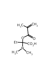 C=C(C)C(=O)OC(CC)(C(=O)O)N(C)C